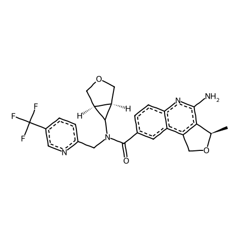 C[C@H]1OCc2c1c(N)nc1ccc(C(=O)N(Cc3ccc(C(F)(F)F)cn3)C3[C@H]4COC[C@@H]34)cc21